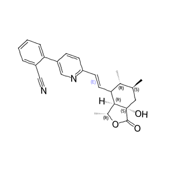 C[C@H]1C[C@@]2(O)C(=O)O[C@H](C)[C@H]2C(/C=C/c2ccc(-c3ccccc3C#N)cn2)[C@@H]1C